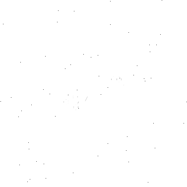 CC(=CCCCCCC(=O)O)C(=O)OC1CCC(C)O1